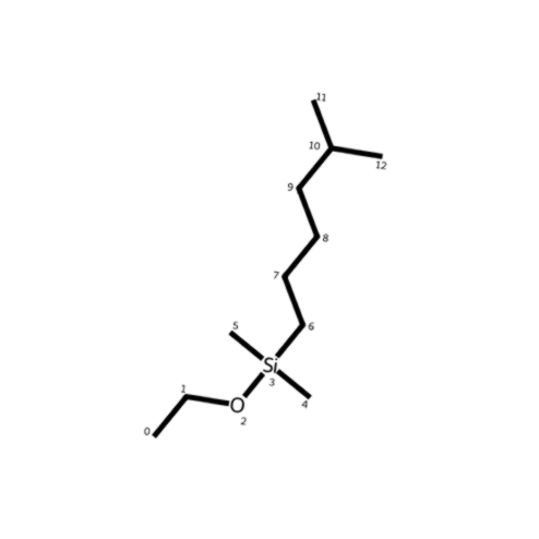 CCO[Si](C)(C)CCC[CH]C(C)C